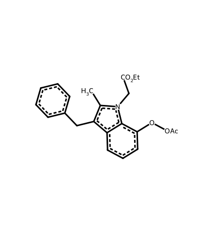 CCOC(=O)Cn1c(C)c(Cc2ccccc2)c2cccc(OOC(C)=O)c21